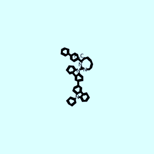 C=C1/C=C\C=C/C/N=C(n2c3ccccc3c3cc(-c4ccc5c(c4)c4ccccc4n5-c4ccccc4)ccc32)\N=C/1c1ccc(-c2ccccc2)cc1